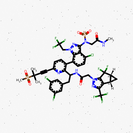 CNC(=O)CN(c1nn(CC(F)(F)F)c2c(-c3ccc(C#CC(C)(C)S(C)(=O)=O)nc3C(Cc3cc(F)cc(F)c3)NC(=O)Cn3nc(C(F)(F)F)c4c3C(F)(F)[C@@H]3C[C@H]43)ccc(Cl)c12)[SH](=O)=O